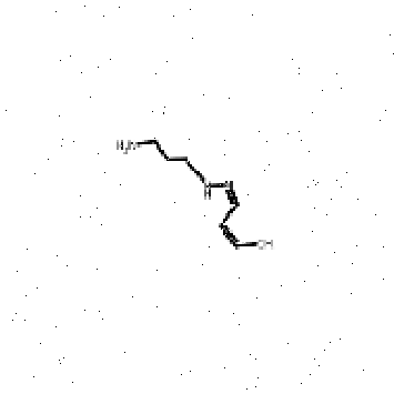 C/C=C\C=N/NCCCN